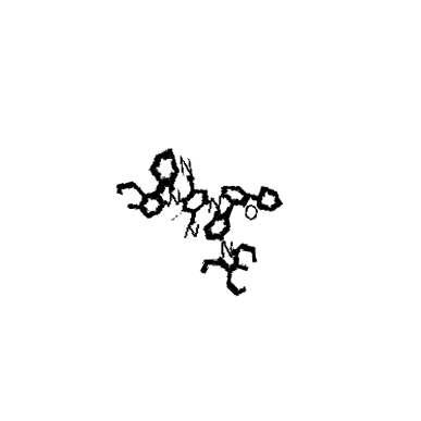 C/C=C\c1c(C)c(/C=C\C)n(-c2ccc3c(c2)c2c4oc5ccccc5c4ccc2n3C2=CC(C#N)=C(n3c4ccccc4c4c(/C=C\C)c(C)ccc43)[C@@H](C)C2C#N)c1CC